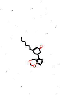 CCCCCCC1=CC(=O)CC(c2cccc3c2COCO3)C1